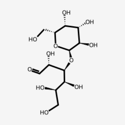 O=C[C@H](O)[C@@H](O[C@H]1O[C@H](CO)[C@H](O)[C@H](O)[C@H]1O)[C@@H](O)[C@H](O)CO